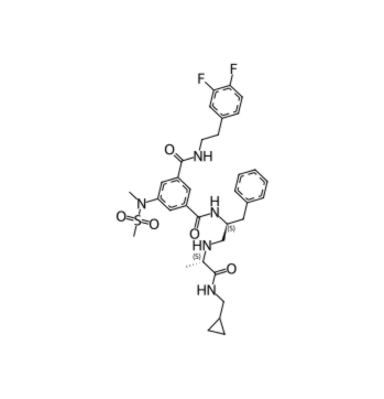 C[C@H](NC[C@H](Cc1ccccc1)NC(=O)c1cc(C(=O)NCCc2ccc(F)c(F)c2)cc(N(C)S(C)(=O)=O)c1)C(=O)NCC1CC1